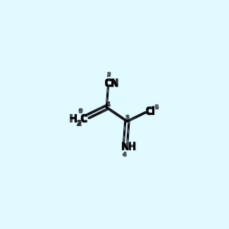 C=C(C#N)C(=N)Cl